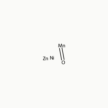 [Ni].[O]=[Mn].[Zn]